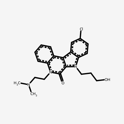 CN(C)CCn1c(=O)c2c(c3ccccc31)c1cc(Cl)ccc1n2CCCO